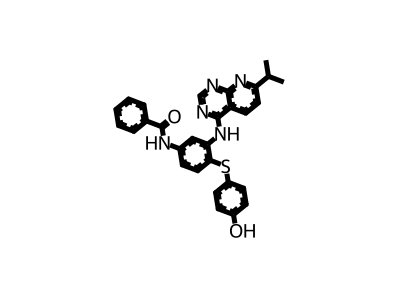 CC(C)c1ccc2c(Nc3cc(NC(=O)c4ccccc4)ccc3Sc3ccc(O)cc3)ncnc2n1